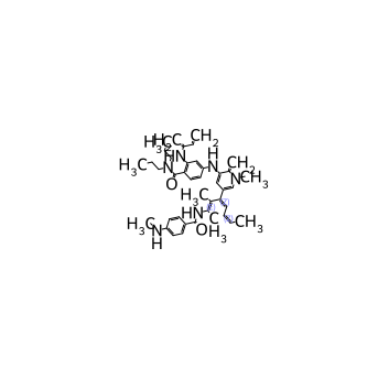 C=CC(=C)Nc1cc(NC2=CC(C(=C/C=C\C)/C(C)=C(\C)NC(=O)c3ccc(NC)cc3)=CN(C)C2=C)ccc1C(=O)N(CCC)CCC